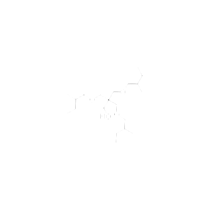 CCC(C)COCC(CO)(COCC(C)CC)COCC(C)CC